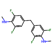 CNc1c(F)cc(Cc2cc(F)c(NC)c(F)c2)cc1F